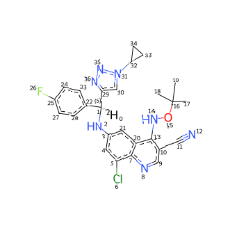 [2H][C@](Nc1cc(Cl)c2ncc(C#N)c(NOC(C)(C)C)c2c1)(c1ccc(F)cc1)c1cn(C2CC2)nn1